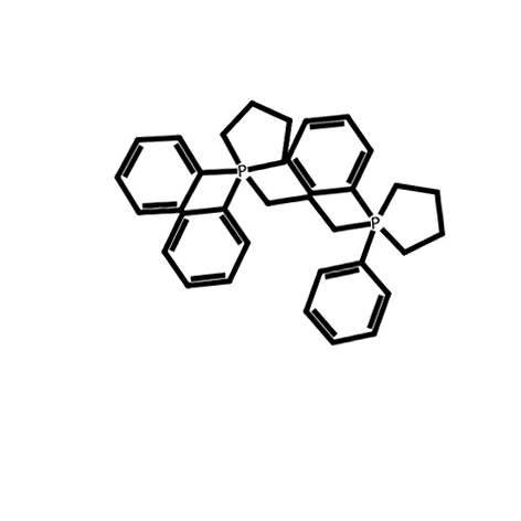 c1ccc(P2(CCCP3(c4ccccc4)(c4ccccc4)CCCC3)(c3ccccc3)CCCC2)cc1